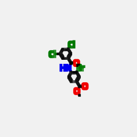 COC(=O)c1ccc(NC(=O)c2cc(Cl)cc(Cl)c2)c(Br)c1